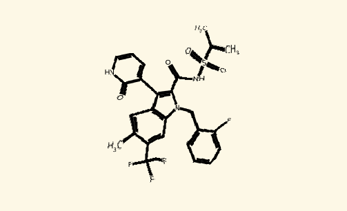 Cc1cc2c(-c3ccc[nH]c3=O)c(C(=O)NS(=O)(=O)C(C)C)n(Cc3ccccc3F)c2cc1C(F)(F)F